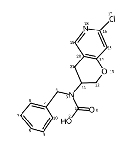 O=C(O)N(Cc1ccccc1)C1COc2cc(Cl)ncc2C1